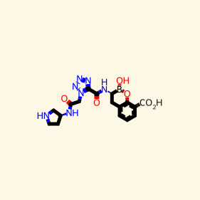 O=C(Cn1nnnc1C(=O)N[C@H]1Cc2cccc(C(=O)O)c2OB1O)N[C@H]1CCNC1